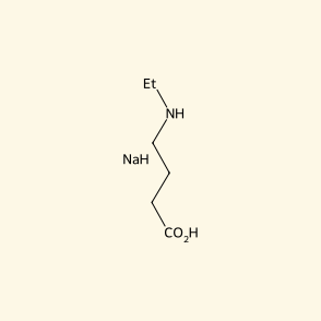 CCNCCCC(=O)O.[NaH]